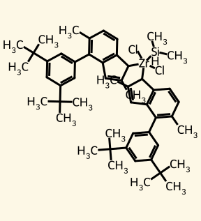 CC1=Cc2c(ccc(C)c2-c2cc(C(C)(C)C)cc(C(C)(C)C)c2)[CH]1[Zr]([Cl])([Cl])([CH]1C(C)=Cc2c1ccc(C)c2-c1cc(C(C)(C)C)cc(C(C)(C)C)c1)[SiH](C)C